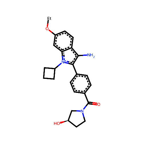 CCOc1ccc2c(N)c(-c3ccc(C(=O)N4CC[C@@H](O)C4)cc3)n(C3CCC3)c2c1